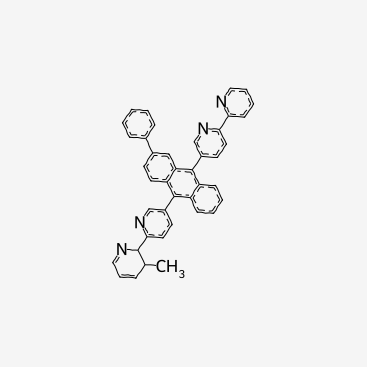 CC1C=CC=NC1c1ccc(-c2c3ccccc3c(-c3ccc(-c4ccccn4)nc3)c3cc(-c4ccccc4)ccc23)cn1